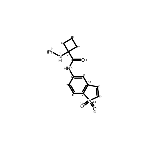 CC(C)NC1(C(=O)Nc2ccc3c(c2)C=CS3(=O)=O)CCC1